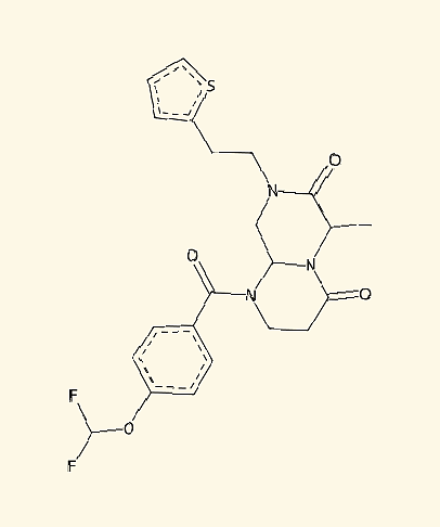 CC1C(=O)N(CCc2cccs2)CC2N(C(=O)c3ccc(OC(F)F)cc3)CCC(=O)N12